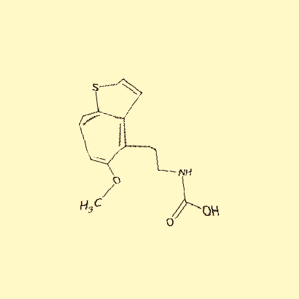 COc1ccc2sccc2c1CCNC(=O)O